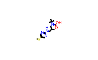 CSc1cnc(NCC(C)CN(C(=O)O)C(C)(C)C)nc1